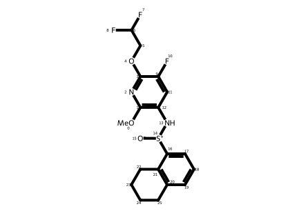 COc1nc(OCC(F)F)c(F)cc1N[S+]([O-])c1cccc2c1CCCC2